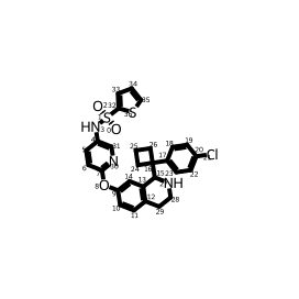 O=S(=O)(Nc1ccc(Oc2ccc3c(c2)C(C2(c4ccc(Cl)cc4)CCC2)NCC3)nc1)c1cccs1